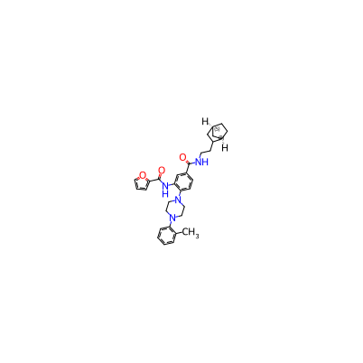 Cc1ccccc1N1CCN(c2ccc(C(=O)NCCC3C[C@H]4CC[C@@H]3C4)cc2NC(=O)c2ccco2)CC1